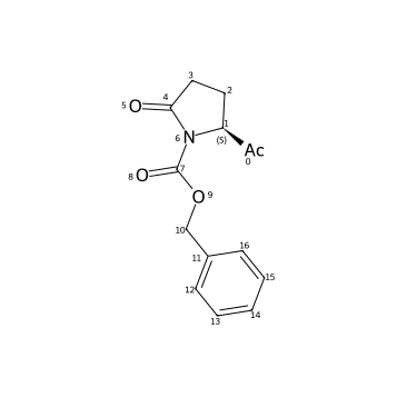 CC(=O)[C@@H]1CCC(=O)N1C(=O)OCc1ccccc1